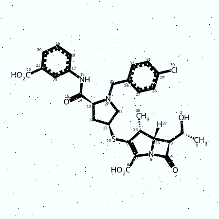 C[C@@H](O)[C@H]1C(=O)N2C(C(=O)O)=C(S[C@H]3C[C@@H](C(=O)Nc4cccc(C(=O)O)c4)N(Cc4ccc(Cl)cc4)C3)[C@H](C)[C@H]12